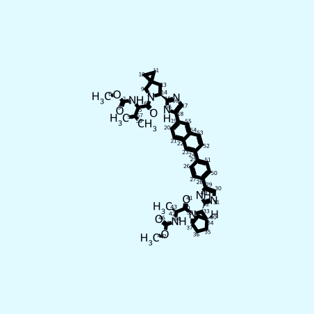 COC(=O)NC(C(=O)N1CC2(CC2)C[C@H]1c1ncc(-c2ccc3cc(-c4ccc(-c5cnc([C@@H]6[C@H]7CCC(C7)N6C(=O)[C@H](C)NC(=O)OC)[nH]5)cc4)ccc3c2)[nH]1)C(C)C